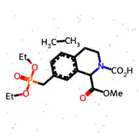 CC.CCOP(=O)(Cc1ccc2c(c1)C(C(=O)OC)N(C(=O)O)CC2)OCC